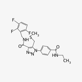 CCNC(=O)c1ccc(-n2nnc(C(=O)NCc3c(F)ccc(F)c3F)c2CSC)cc1